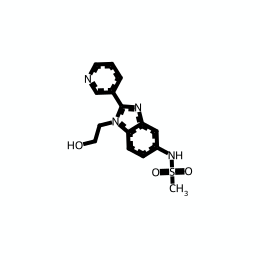 CS(=O)(=O)Nc1ccc2c(c1)nc(-c1cccnc1)n2CCO